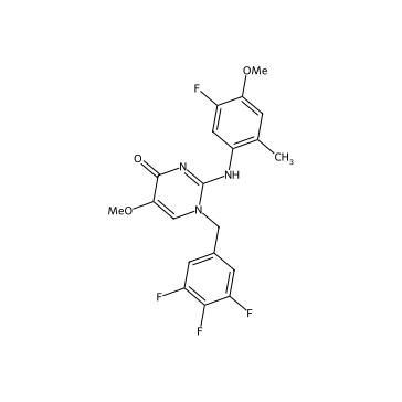 COc1cc(C)c(Nc2nc(=O)c(OC)cn2Cc2cc(F)c(F)c(F)c2)cc1F